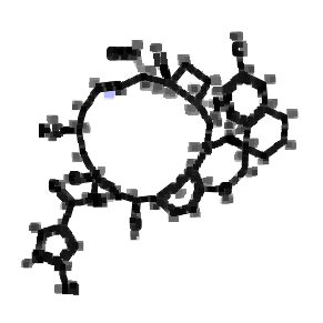 CCn1cc(C(=O)NS2(=O)=NC(=O)c3ccc4c(c3)N(C[C@@H]3CC[C@H]3[C@@H](OC)/C=C/C[C@H](C)C2)C[C@@]2(CCCc3cc(Cl)ccc32)CO4)cn1